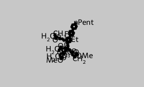 C=C(C)C(=O)OCCCc1cc(-c2ccc(C3CCC(CCCCC)CC3)cc2F)c(CC)cc1OCC(COC(=O)CC(=C)C(=O)OC)(COC(=O)CC(=C)C(=O)OC)COC(=O)C(=C)C